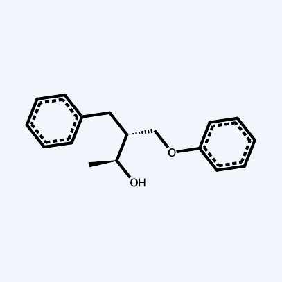 C[C@H](O)[C@@H](COc1ccccc1)Cc1ccccc1